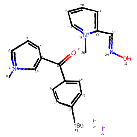 C[n+]1cccc(C(=O)c2ccc(C(C)(C)C)cc2)c1.C[n+]1ccccc1C=NO.[I-].[I-]